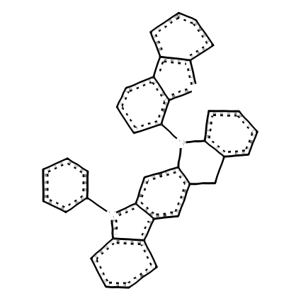 c1ccc(-n2c3ccccc3c3cc4c(cc32)N(c2cccc3c2oc2ccccc23)c2ccccc2C4)cc1